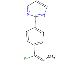 [CH2]/C=C(/F)c1ccc(-c2ncccn2)cc1